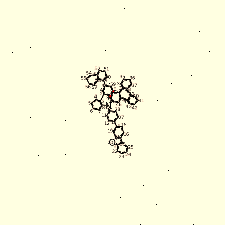 c1cc(-c2ccccc2N(c2ccc(-c3ccc4c(c3)oc3ccccc34)cc2)c2ccc3c4ccccc4c4ccccc4c3c2)cc(-c2cccc3ccccc23)c1